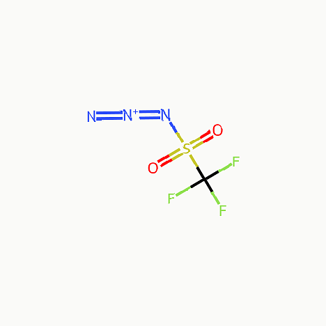 [N-]=[N+]=NS(=O)(=O)C(F)(F)F